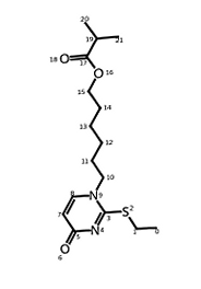 CCSc1nc(=O)ccn1CCCCCCOC(=O)C(C)C